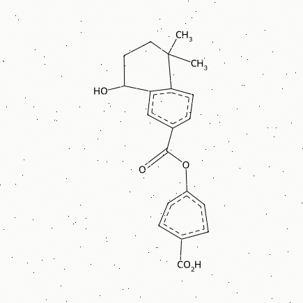 CC1(C)CCC(O)c2cc(C(=O)Oc3ccc(C(=O)O)cc3)ccc21